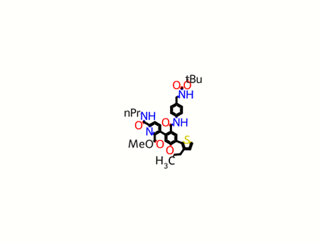 CCCNC(=O)c1ccc(-c2cc3c(cc2C(=O)Nc2ccc(CNC(=O)OC(C)(C)C)cc2)-c2sccc2C[C@H](C)O3)c(C(=O)OC)n1